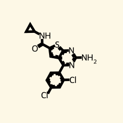 Nc1nc(-c2ccc(Cl)cc2Cl)c2cc(C(=O)NC3CC3)sc2n1